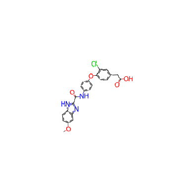 COc1ccc2[nH]c(C(=O)Nc3ccc(Oc4ccc(CC(=O)O)cc4Cl)cc3)nc2c1